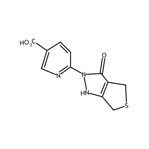 O=C(O)c1ccc(-n2[nH]c3c(c2=O)CSC3)nc1